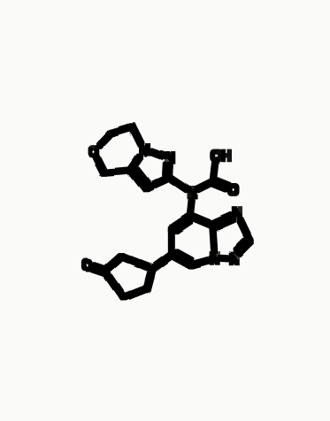 O=C1CCC(c2cc(N(C(=O)O)c3cc4n(n3)CCOC4)c3ncnn3c2)C1